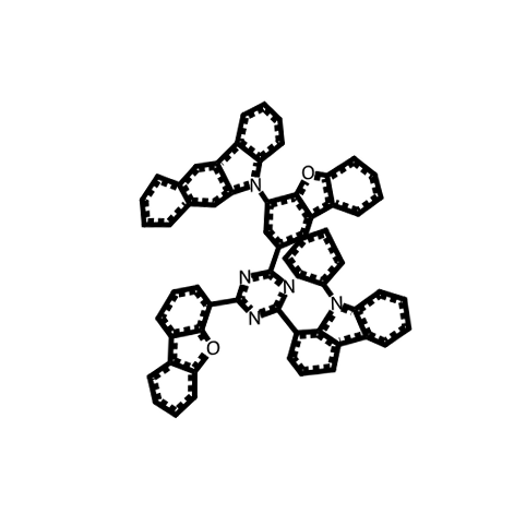 c1ccc(-n2c3ccccc3c3cccc(-c4nc(-c5cc(-n6c7ccccc7c7cc8ccccc8cc76)c6oc7ccccc7c6c5)nc(-c5cccc6c5oc5ccccc56)n4)c32)cc1